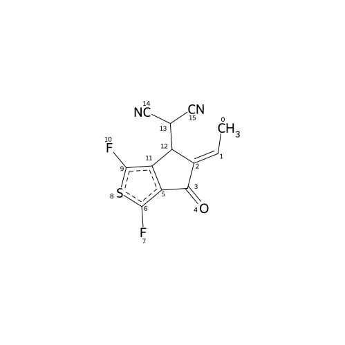 C/C=C1/C(=O)c2c(F)sc(F)c2C1C(C#N)C#N